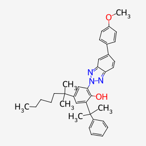 CCCCCC(C)(C)c1cc(-n2nc3ccc(-c4ccc(OC)cc4)cc3n2)c(O)c(C(C)(C)c2ccccc2)c1